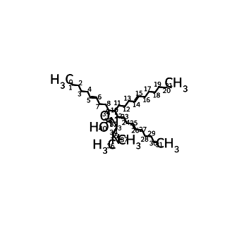 CCCCCC=CCCCC(CCCC=CCCCCCC)C(CCC=CCCCCC)N(CCN(C)C)C(=O)O